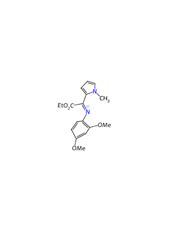 CCOC(=O)/C(=N\c1ccc(OC)cc1OC)c1cccn1C